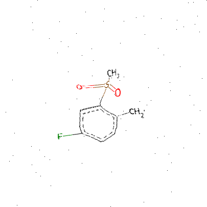 [CH2]c1ccc(F)cc1S(C)(=O)=O